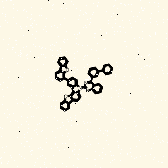 C1=CC(c2cccc(-c3nc(-n4c5ccc(-c6cccc7c6oc6ccccc67)cc5c5c6oc7ccccc7c6ccc54)nc4ccccc34)c2)=CCC1